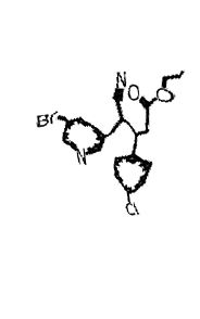 CCOC(=O)CC(c1ccc(Cl)cc1)C(C#N)c1cncc(Br)c1